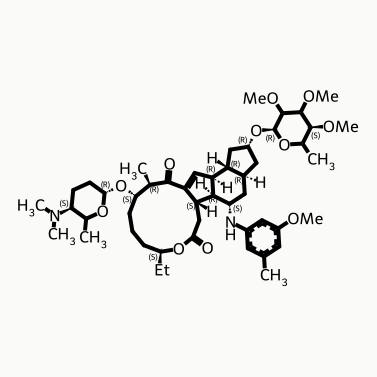 CC[C@H]1CCC[C@H](O[C@H]2CC[C@H](N(C)C)C(C)O2)[C@@H](C)C(=O)C2=C[C@H]3[C@@H]4C[C@H](O[C@@H]5OC(C)[C@H](OC)C(OC)C5OC)C[C@H]4C[C@H](Nc4cc(C)cc(OC)c4)[C@H]3[C@@H]2CC(=O)O1